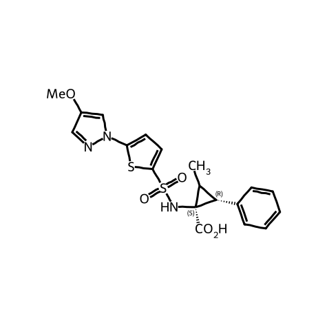 COc1cnn(-c2ccc(S(=O)(=O)N[C@@]3(C(=O)O)C(C)[C@@H]3c3ccccc3)s2)c1